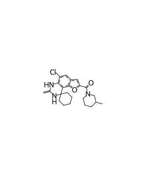 C=C1Nc2c(Cl)cc3cc(C(=O)N4CCCC(C)C4)oc3c2C2(CCCCC2)N1